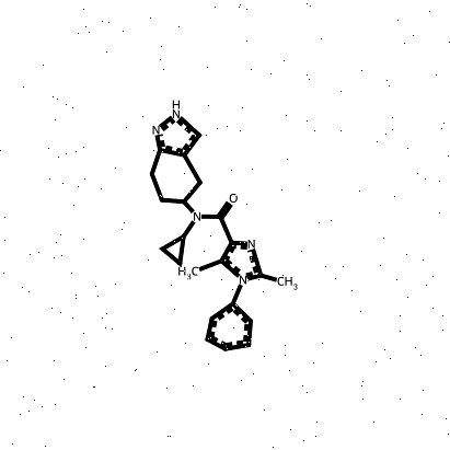 Cc1nc(C(=O)N(C2CC2)C2CCc3n[nH]cc3C2)c(C)n1-c1ccccc1